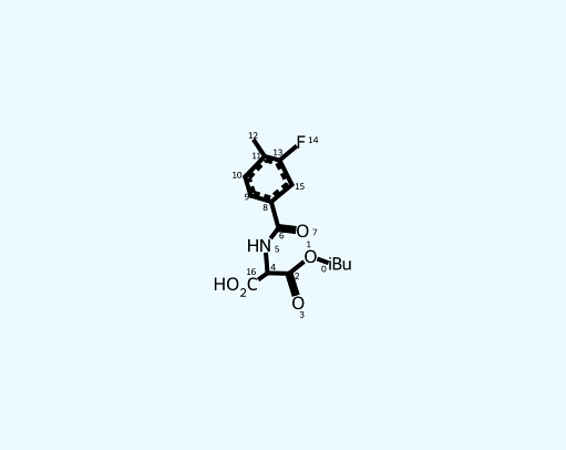 CCC(C)OC(=O)C(NC(=O)c1ccc(C)c(F)c1)C(=O)O